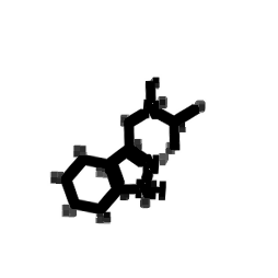 CC(C)N(C)Cc1n[nH]c2c1CCCC2